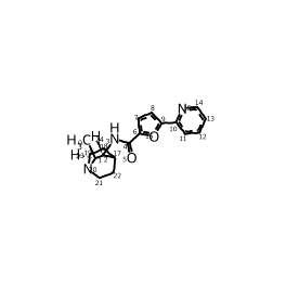 C[C@H]1[C@H](NC(=O)c2ccc(-c3ccccn3)o2)C2CCN1CC2